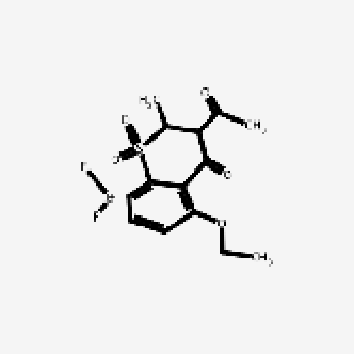 CCOc1cccc2c1C(=O)C(C(C)=O)C(C)S2(=O)=O.F[B]F